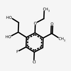 CCOc1c(C(C)=O)cc(Cl)c(F)c1C(O)CO